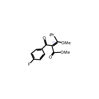 COC(=O)/C(C(=O)c1ccc(F)cc1)=C(\OC)C(C)C